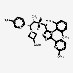 COc1cccc(-c2nnc(NS(=O)(=O)[C@@H](C)[C@@H](c3ncc(C)cn3)N3CC(OC)C3)n2-c2c(OC)cccc2OC)n1